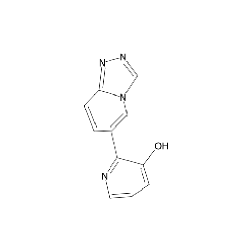 Oc1cccnc1-c1ccc2nncn2c1